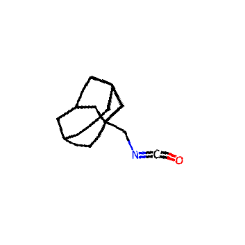 O=C=NCC12CC3CC(CC(C3)C1)C2